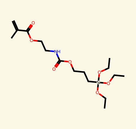 C=C(C)C(=O)OCCNC(=O)OCCC[Si](OCC)(OCC)OCC